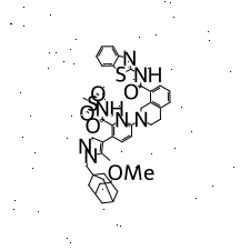 COC12CC3CC(CC(Cn4ncc(-c5ccc(N6CCc7cccc(C(=O)Nc8nc9ccccc9s8)c7C6)nc5C(=O)NS(C)(=O)=O)c4C)(C3)C1)C2